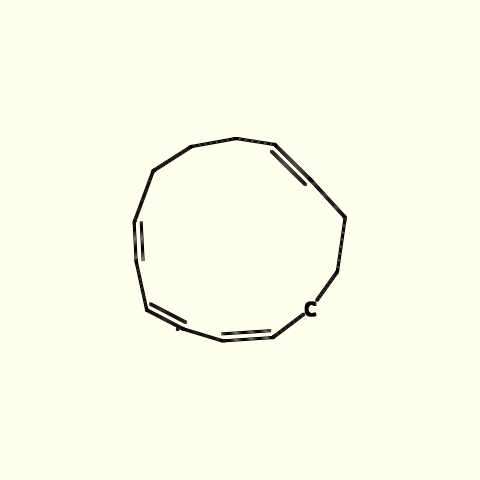 [C]1=CC=CCCCC=CCCCC=C1